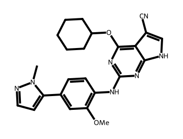 COc1cc(-c2ccnn2C)ccc1Nc1nc(OC2CCCCC2)c2c(C#N)c[nH]c2n1